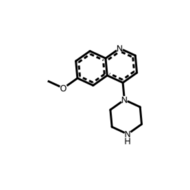 COc1ccc2nccc(N3CCNCC3)c2c1